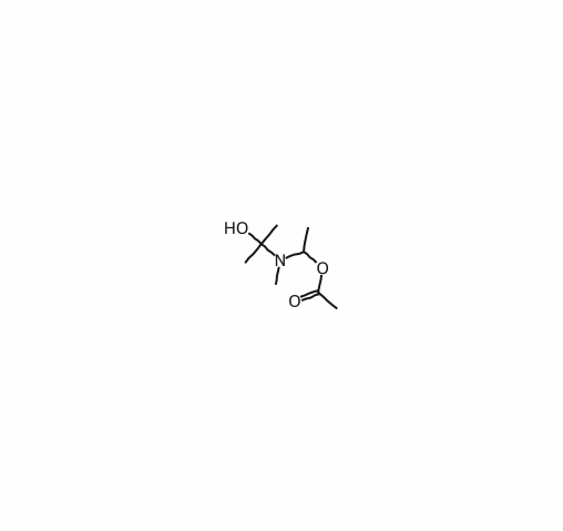 CC(=O)OC(C)N(C)C(C)(C)O